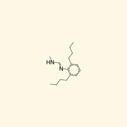 CCCCc1cccc(CCCC)c1N=CNC